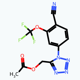 CC(=O)OCc1nnnn1-c1ccc(C#N)c(OC(F)(F)F)c1